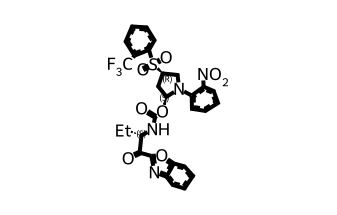 CC[C@H](NC(=O)O[C@H]1C[C@@H](S(=O)(=O)c2ccccc2C(F)(F)F)CN1c1ccccc1[N+](=O)[O-])C(=O)c1nc2ccccc2o1